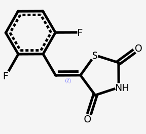 O=C1NC(=O)/C(=C/c2c(F)cccc2F)S1